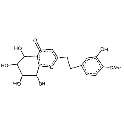 COc1ccc(CCc2cc(=O)c3c(o2)C(O)C(O)C(O)C3O)cc1O